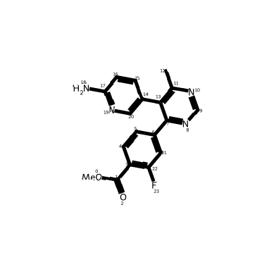 COC(=O)c1ccc(-c2ncnc(C)c2-c2ccc(N)nc2)cc1F